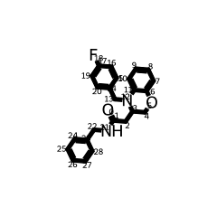 O=C(CC1COc2ccccc2N1Cc1ccc(F)cc1)NCc1ccccc1